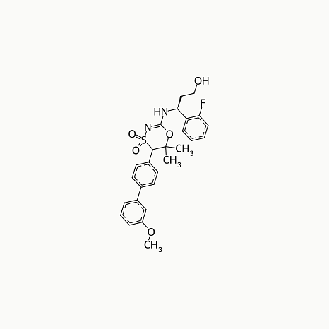 COc1cccc(-c2ccc(C3C(C)(C)OC(N[C@@H](CCO)c4ccccc4F)=NS3(=O)=O)cc2)c1